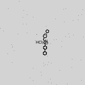 Cl.c1ccc(-c2ccc(-c3nc(CC4CCN(C5CCCC5)CC4)no3)cc2)cc1